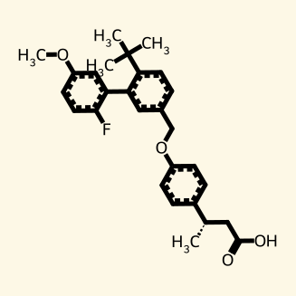 COc1ccc(F)c(-c2cc(COc3ccc([C@@H](C)CC(=O)O)cc3)ccc2C(C)(C)C)c1